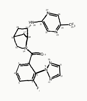 O=C(c1cccc(F)c1-n1nccn1)N1CC2CC1[C@@H](Nc1cnc(C(F)(F)F)cn1)C2